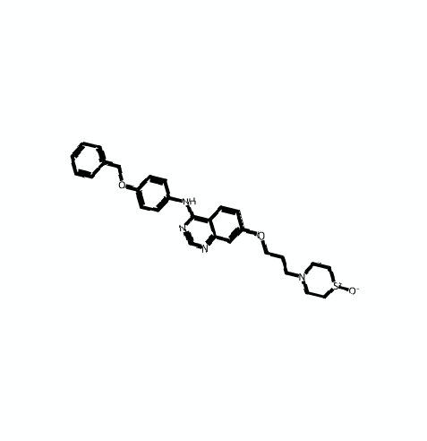 [O-][S+]1CCN(CCCOc2ccc3c(Nc4ccc(OCc5ccccc5)cc4)ncnc3c2)CC1